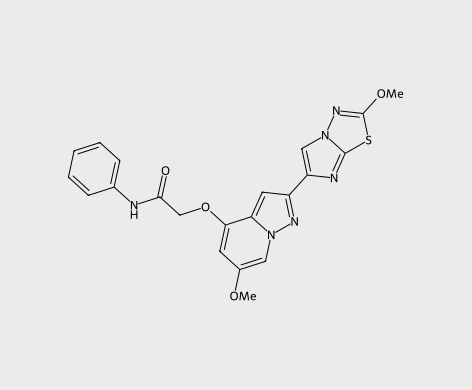 COc1cc(OCC(=O)Nc2ccccc2)c2cc(-c3cn4nc(OC)sc4n3)nn2c1